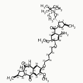 C=C1C[C@@H](CO[Si](C)(C)C(C)(C)C)N(C(=O)c2cc(OC)c(OCCCCCOc3cc4c(cc3OC)C(=O)N3CC(=C)C[C@H]3C(=O)N4)cc2N)C1